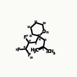 C=C(C)C[Si]1(CC(F)C(F)F)CCCCO1